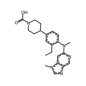 CCc1cc(C2CCN(C(=O)O)CC2)ccc1N(C)c1cc2c(cn1)ncn2C